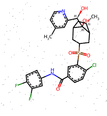 Cc1ccnc([C@@H](O)[C@@]2(O)C3CC(S(=O)(=O)c4cc(C(=O)Nc5ccc(F)c(F)c5)ccc4Cl)CC2[C@@H](C)C3)c1